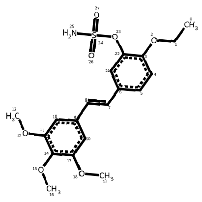 CCOc1ccc(/C=C/c2cc(OC)c(OC)c(OC)c2)cc1OS(N)(=O)=O